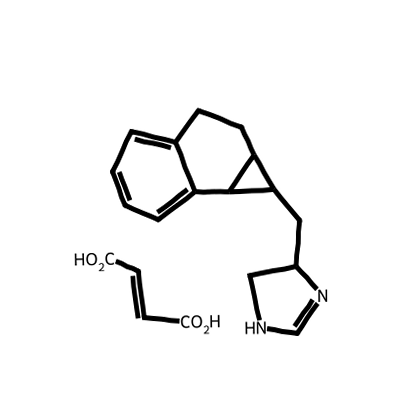 C1=NC(CC2C3CCc4ccccc4C32)CN1.O=C(O)C=CC(=O)O